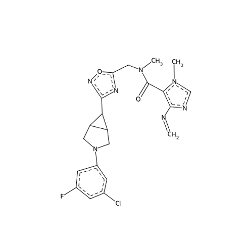 C=Nc1ncn(C)c1C(=O)N(C)Cc1nc(C2C3CN(c4cc(F)cc(Cl)c4)CC32)no1